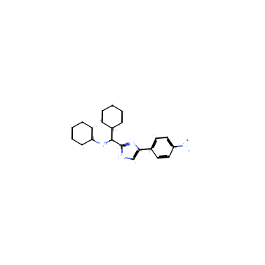 CCN(CC)c1ccc(-c2c[nH]c(C(NC3CCCCC3)C3CCCCC3)n2)cc1